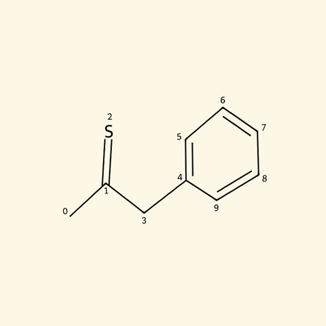 CC(=S)Cc1ccccc1